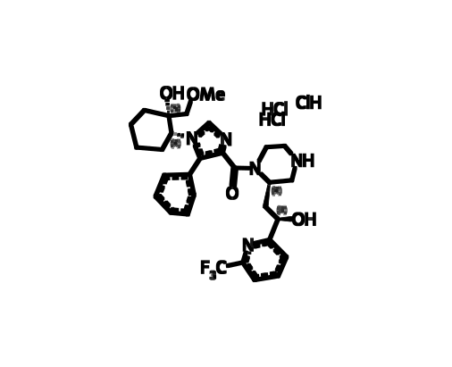 COC[C@]1(O)CCCC[C@H]1n1cnc(C(=O)N2CCNC[C@H]2C[C@@H](O)c2cccc(C(F)(F)F)n2)c1-c1ccccc1.Cl.Cl.Cl